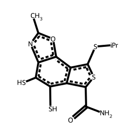 Cc1nc2c(S)c(S)c3c(C(N)=O)sc(SC(C)C)c3c2o1